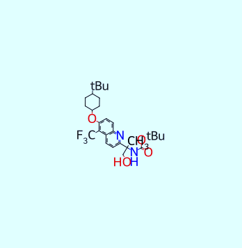 CC(C)(C)OC(=O)NC(C)(CO)c1ccc2c(C(F)(F)F)c(OC3CCC(C(C)(C)C)CC3)ccc2n1